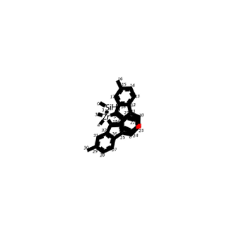 C[SiH2][Zr]([CH3])([CH3])([C]1=C2C=CC=CC2c2ccc(C)cc21)[C]1=C2C=CC=CC2c2ccc(C)cc21